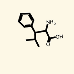 CC(C)C(c1ccccc1)C(N)C(=O)O